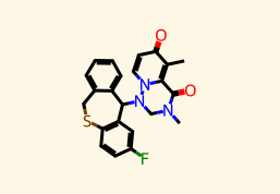 Cc1c2n(ccc1=O)N(C1c3ccccc3CSc3ccc(F)cc31)CN(C)C2=O